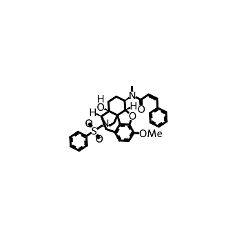 COc1ccc2c3c1O[C@H]1[C@H](N(C)C(=O)/C=C\c4ccccc4)CC[C@@]4(O)[C@@H](C2)N(S(=O)(=O)c2ccccc2)CCC314